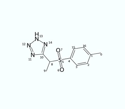 Cc1ccc(S(=O)(=O)C(C)c2nn[nH]n2)cc1